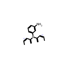 C=C(/C=C\C)N(C(=C)/C=C\C)c1cccc(N)c1